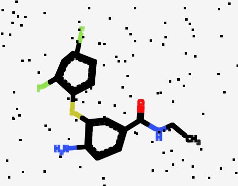 CCNC(=O)c1ccc(N)c(Sc2ccc(F)cc2F)c1